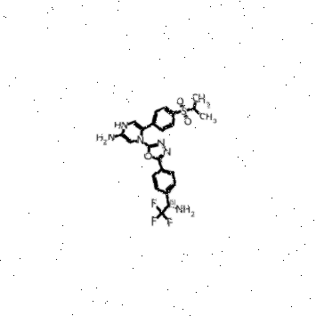 CC(C)S(=O)(=O)c1ccc(C2=CNC(N)=CN2c2nnc(-c3ccc([C@H](N)C(F)(F)F)cc3)o2)cc1